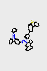 c1ccc(-n2c3ccccc3c3ccc(N(c4ccc(-c5ccc6sc7ccccc7c6c5)cc4)c4cc5ccccc5c5ccccc45)cc32)cc1